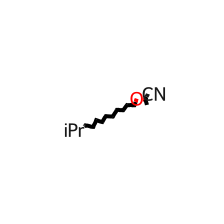 CC(C)CCCCCCCCCCOC(C)C#N